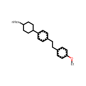 CCCCCCC1CCC(c2ccc(CCc3ccc(OCC)cc3)cc2)CC1